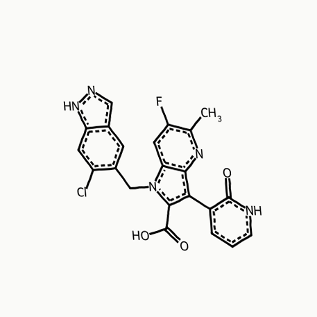 Cc1nc2c(-c3ccc[nH]c3=O)c(C(=O)O)n(Cc3cc4cn[nH]c4cc3Cl)c2cc1F